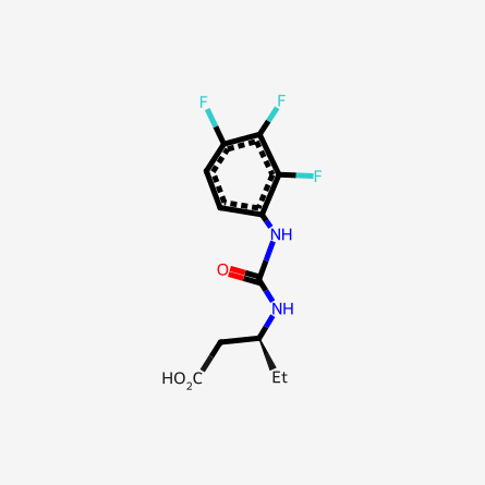 CC[C@@H](CC(=O)O)NC(=O)Nc1ccc(F)c(F)c1F